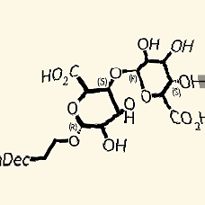 CCCCCCCCCCCCO[C@@H]1OC(C(=O)O)[C@@H](O[C@@H]2OC(C(=O)O)[C@@H](O)C(O)C2O)C(O)C1O